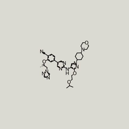 CC(C)OCCOc1nn(C2CCC(N3CCOCC3)CC2)cc1Nc1ncc(-c2ccc(C#N)c(O[C@@H](C)Cn3cncn3)c2)cn1